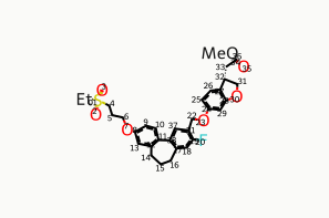 CCS(=O)(=O)CCCOc1ccc2c(c1)CCCc1cc(F)c(COc3ccc4c(c3)OC[C@H]4CC(=O)OC)cc1-2